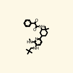 CNc1nc(C2CCC(C)(C)C(NC(=O)C(=O)c3ccccc3)C2)ccc1NCC(C)(C)C